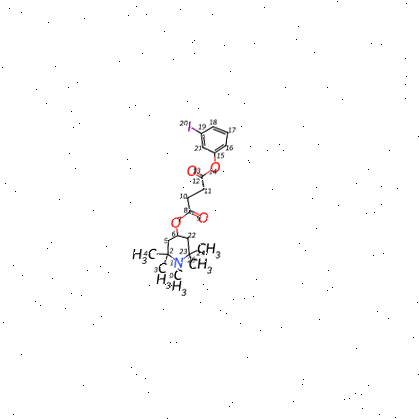 CN1C(C)(C)CC(OC(=O)CCC(=O)Oc2cccc(I)c2)CC1(C)C